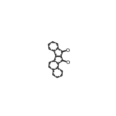 O=c1c2c(=O)c3c(ccc4ccccc43)c=2c2ccccc12